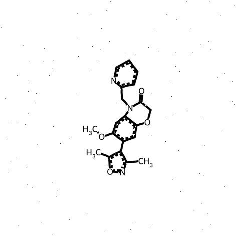 COc1cc2c(cc1-c1c(C)noc1C)OCC(=O)N2Cc1ccccn1